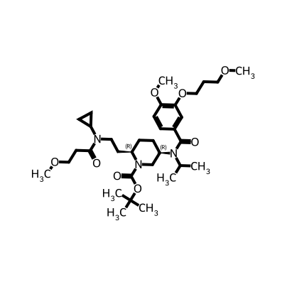 COCCCOc1cc(C(=O)N(C(C)C)[C@@H]2CC[C@H](CCN(C(=O)CCOC)C3CC3)N(C(=O)OC(C)(C)C)C2)ccc1OC